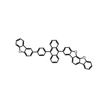 c1ccc2c(c1)oc1ccc(-c3ccc(-c4c5ccccc5c(-c5ccc6oc7c(ccc8c9ccccc9oc87)c6c5)c5ccccc45)cc3)cc12